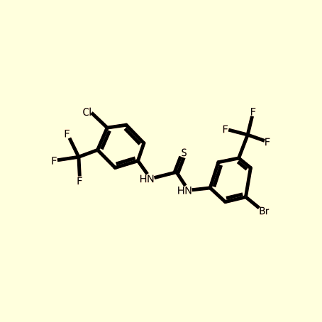 FC(F)(F)c1cc(Br)cc(NC(=S)Nc2ccc(Cl)c(C(F)(F)F)c2)c1